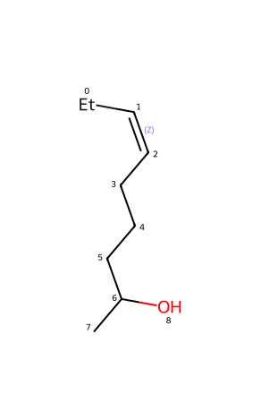 CC/C=C\CCCC(C)O